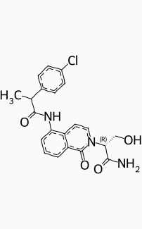 CC(C(=O)Nc1cccc2c(=O)n([C@H](CO)C(N)=O)ccc12)c1ccc(Cl)cc1